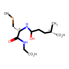 C[C@@H](CCC(O)N[C@@H](CSN=O)C(=O)NCC(=O)O)C(=O)O